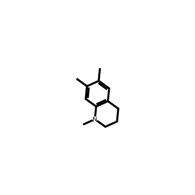 Cc1cc2c(cc1C)N(C)CCC2